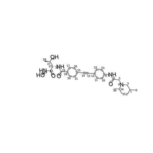 CC(C)CN(CC(=O)Nc1ccc(C#Cc2ccc(C(=O)N[C@H](C(=O)NO)[C@@H](C)O)cc2)cc1)C(C)C